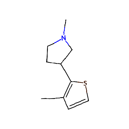 Cc1ccsc1C1CCN(C)C1